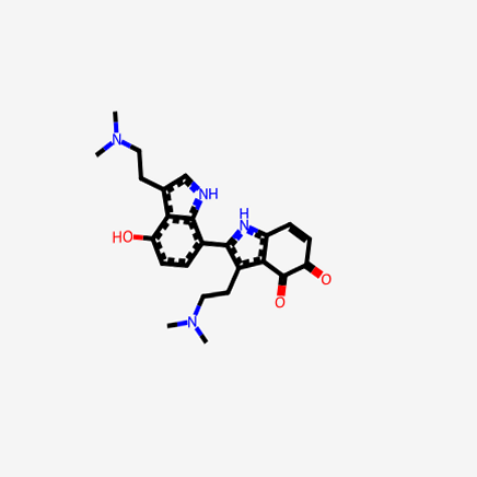 CN(C)CCc1c(-c2ccc(O)c3c(CCN(C)C)c[nH]c23)[nH]c2c1C(=O)C(=O)C=C2